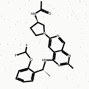 CC(=O)N[C@@H]1CCN(c2cc3c(N[C@H](C)c4ccccc4OC(F)F)nc(C)nc3cn2)C1